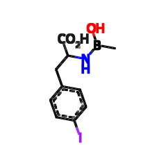 CB(O)NC(Cc1ccc(I)cc1)C(=O)O